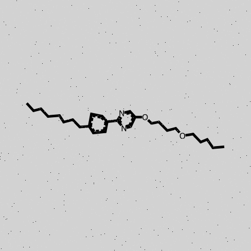 CCCCCCCCc1ccc(-c2ncc(OCCCCOCCCCC)cn2)cc1